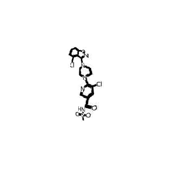 CS(=O)(=O)NC(=O)c1cnc(N2CCN(c3noc4cccc(Cl)c34)CC2)c(Cl)c1